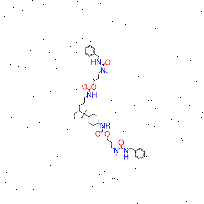 CCC(CCCNC(=O)OCCCN(C)C(=O)NCc1ccccc1)C(C)(C)C1CCC(NC(=O)OCCCN(C)C(=O)NCc2ccccc2)CC1